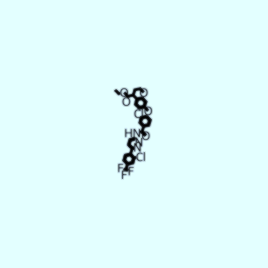 CCOC(=O)C1CCOc2cc(Oc3ccc(C(=O)Nc4ccc(-c5ccc(C(F)(F)F)cc5Cl)nn4)cc3)c(Cl)cc21